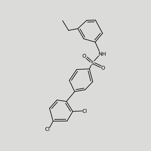 CCc1cccc(NS(=O)(=O)c2ccc(-c3ccc(Cl)cc3Cl)cc2)c1